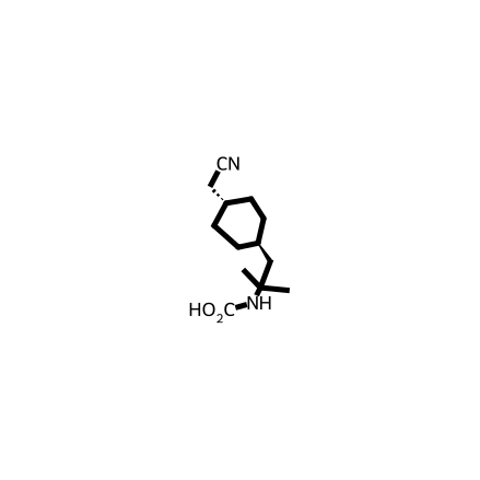 CC(C)(C[C@H]1CC[C@H](CC#N)CC1)NC(=O)O